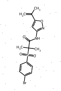 C=C(C)c1cc(NC(=O)C(C)(C)S(=O)(=O)c2ccc(Br)cc2)no1